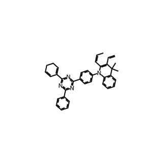 C=CC1=C(/C=C\C)N(c2ccc(-c3nc(C4=CCCC=C4)nc(-c4ccccc4)n3)cc2)c2ccccc2C1(C)C